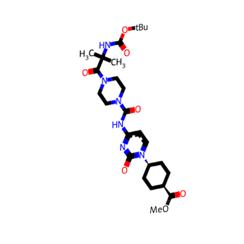 COC(=O)[C@H]1CC[C@H](n2ccc(NC(=O)N3CCN(C(=O)C(C)(C)NC(=O)OC(C)(C)C)CC3)nc2=O)CC1